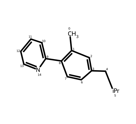 Cc1cc(CC(C)C)ccc1-c1ccccn1